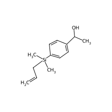 C=CC[Si](C)(C)c1ccc(C(C)O)cc1